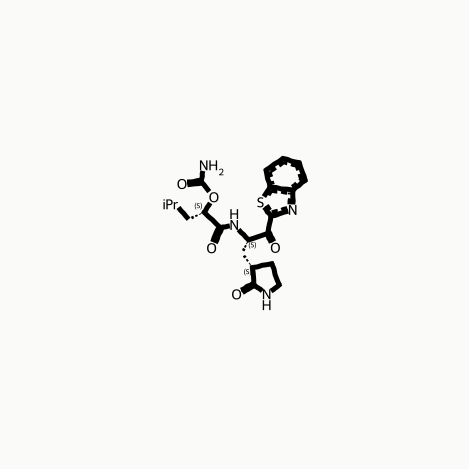 CC(C)C[C@H](OC(N)=O)C(=O)N[C@@H](C[C@@H]1CCNC1=O)C(=O)c1nc2ccccc2s1